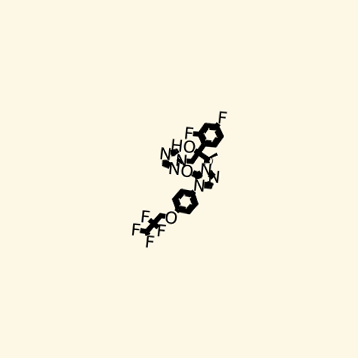 C[C@@H](n1ncn(-c2ccc(OCC(F)(F)C(F)F)cc2)c1=O)C(O)(Cn1cncn1)c1ccc(F)cc1F